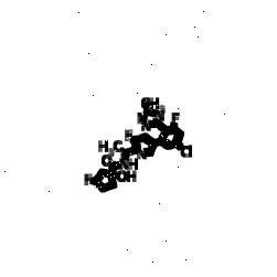 C[C@@H](NC(=O)C1(O)CCC(F)C1)c1ncc(-c2cc(Cl)cc(F)c2-c2nnn(C)n2)cc1F